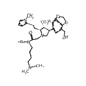 CCCCN(CCCCN(C)C)C(=O)CN1C[C@H](c2cc(CO)c3c(c2)OCO3)[C@@H](C(=O)O)[C@@H]1CCc1cccn1C